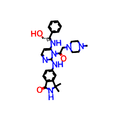 CN1CCN(CC(=O)N2C(N[C@H](CO)c3ccccc3)=CC=NC2Nc2ccc3c(c2)C(C)(C)NC3=O)CC1